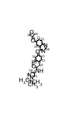 CC(C)(C)n1cc(NC(=O)Cc2ccc(Oc3ncnc4ccc(OC5COC5)cc34)cc2F)cn1